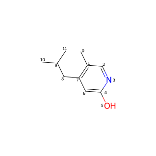 Cc1cnc(O)cc1CC(C)C